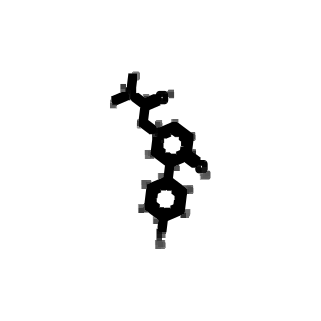 CN(C)C(=O)Cn1ccc(=O)c(-c2ccc(F)cc2)c1